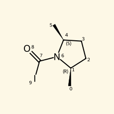 C[C@@H]1CC[C@H](C)N1C(=O)I